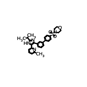 Cc1cccc(-c2[nH]c(C(C)C)nc2-c2cccc(-c3ccc(S(=O)(=O)N4CCOCC4)cc3)c2)n1